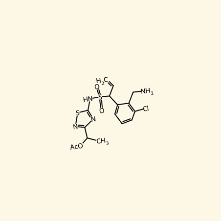 C=CC(c1cccc(Cl)c1CN)S(=O)(=O)Nc1nc(C(C)OC(C)=O)ns1